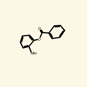 CCCCc1ccccc1OC(=O)c1ccccc1